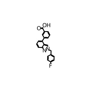 O=C(O)c1cccc(-c2cccc3nn(Cc4ccc(F)cc4)cc23)c1